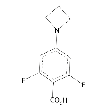 O=C(O)c1c(F)cc(N2CCC2)cc1F